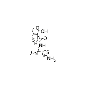 CO/N=C(\CN[C@@H]1C(=O)N2C(C(=O)O)=C(CI)CS[C@H]12)c1csc(N)n1